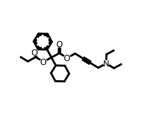 CCC(=O)OC(C(=O)OCC#CCN(CC)CC)(c1ccccc1)C1CCCCC1